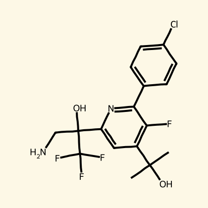 CC(C)(O)c1cc(C(O)(CN)C(F)(F)F)nc(-c2ccc(Cl)cc2)c1F